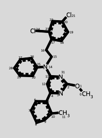 COc1nc(-c2ccccc2C)cc(N(CCc2ccc(Cl)cc2Cl)c2ccccc2)n1